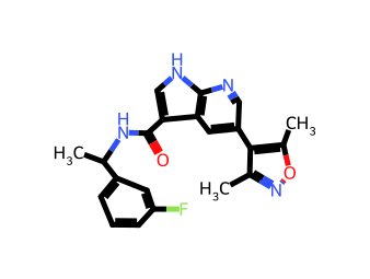 Cc1noc(C)c1-c1cnc2[nH]cc(C(=O)NC(C)c3cccc(F)c3)c2c1